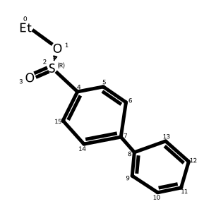 CCO[S@@](=O)c1ccc(-c2ccccc2)cc1